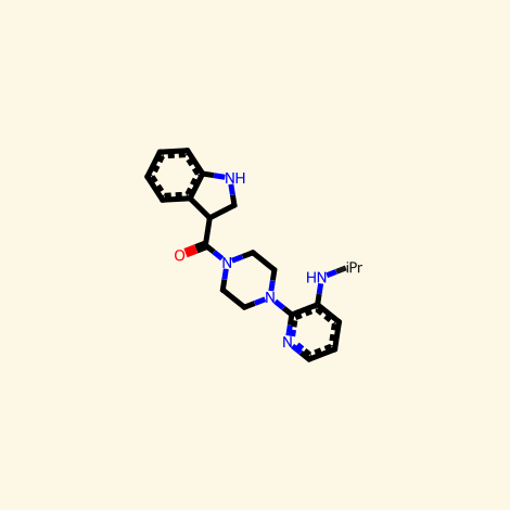 CC(C)Nc1cccnc1N1CCN(C(=O)C2CNc3ccccc32)CC1